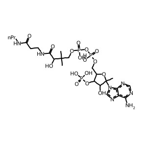 CCCNC(=O)CCNC(=O)C(O)C(C)(C)COP(=O)(O)OP(=O)(O)OCC1OC(C)(n2cnc3c(N)ncnc32)C(O)C1OP(=O)(O)O